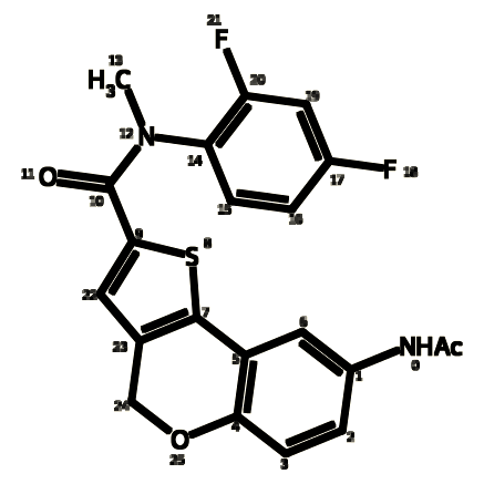 CC(=O)Nc1ccc2c(c1)-c1sc(C(=O)N(C)c3ccc(F)cc3F)cc1CO2